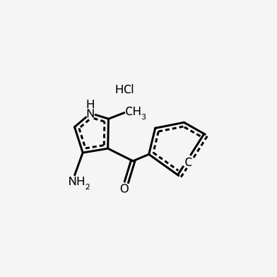 Cc1[nH]cc(N)c1C(=O)c1ccccc1.Cl